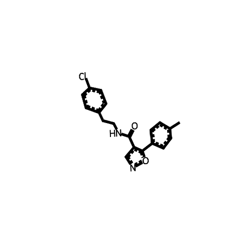 Cc1ccc(-c2oncc2C(=O)NCCc2ccc(Cl)cc2)cc1